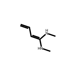 C=CC=C(NC)NC